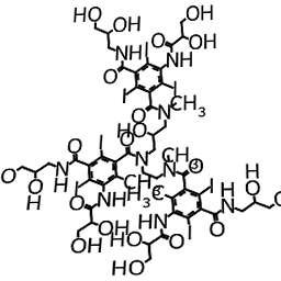 Cc1c(NC(=O)C(O)CO)c(I)c(C(=O)NCC(O)CO)c(I)c1C(=O)N(C)CCN(CC(O)CN(C)C(=O)c1c(I)c(NC(=O)C(O)CO)c(I)c(C(=O)NCC(O)CO)c1I)C(=O)c1c(C)c(NC(=O)C(O)CO)c(I)c(C(=O)NCC(O)CO)c1I